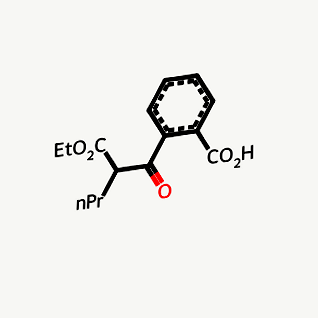 CCCC(C(=O)OCC)C(=O)c1ccccc1C(=O)O